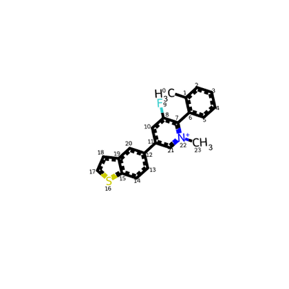 Cc1ccccc1-c1c(F)cc(-c2ccc3sccc3c2)c[n+]1C